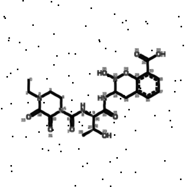 CCN1CCN(C(=O)N[C@@H](C(=O)NC2Cc3cccc(C(=O)O)c3OB2O)[C@H](C)O)C(=O)C1=O